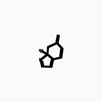 [2H]C12CC(=O)C=CC1=CC=N2